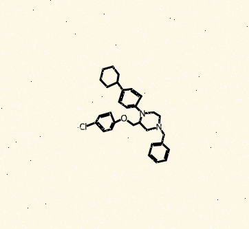 Clc1ccc(OCC2CN(Cc3ccccc3)CCN2c2ccc(C3CCCCC3)cc2)cc1